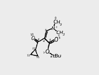 CN(C)C=C(C(=O)OC(C)(C)C)C(=O)C1CC1